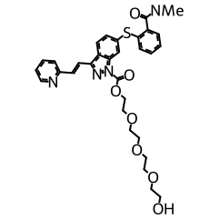 CNC(=O)c1ccccc1Sc1ccc2c(/C=C/c3ccccn3)nn(C(=O)OCCOCCOCCOCCO)c2c1